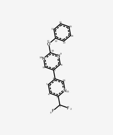 FC(F)c1ccc(-c2cnc(Oc3ccccc3)nc2)cn1